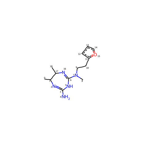 CC1N=C(N)NC(N(C)CCc2ccco2)=NC1C